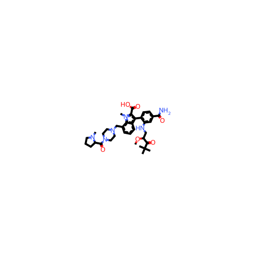 COC(CNc1cc(C(N)=O)ccc1-c1c(C(=O)O)n(C)c2c(CN3CCN(C(=O)C4CCCN4C)CC3)cccc12)C(=O)C(C)(C)C